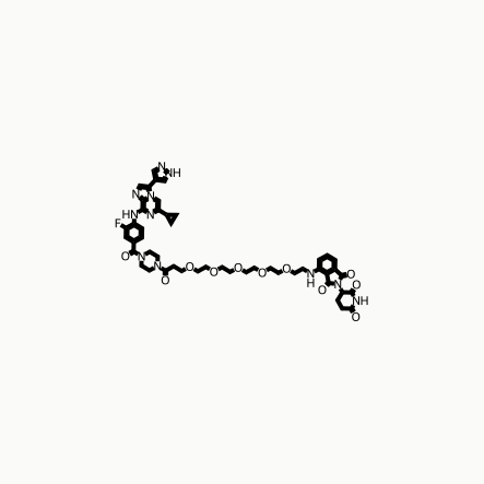 O=C1CCC(N2C(=O)c3cccc(NCCOCCOCCOCCOCCOCCC(=O)N4CCN(C(=O)c5ccc(Nc6nc(C7CC7)cn7c(-c8cn[nH]c8)cnc67)c(F)c5)CC4)c3C2=O)C(=O)N1